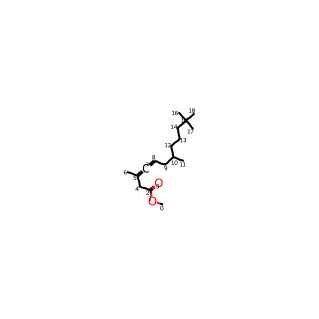 COC(=O)CC(C)=C=CCC(C)CCCC(C)(C)C